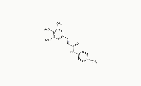 CC(=O)Oc1cc(/C=C/C(=O)Nc2ccc(C)cc2)cc(OC(C)=O)c1OC(C)=O